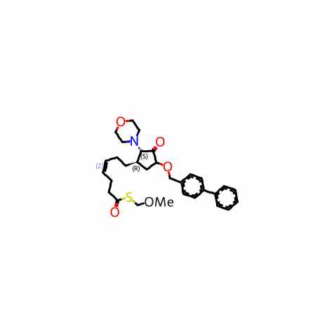 COCSC(=O)CC/C=C\CC[C@@H]1CC(OCc2ccc(-c3ccccc3)cc2)C(=O)[C@H]1N1CCOCC1